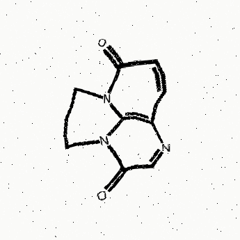 O=c1ccc2ncc(=O)n3c2n1CCC3